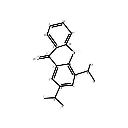 CC(C)c1cc(C(C)C)c2sc3ccccc3c(=O)c2c1